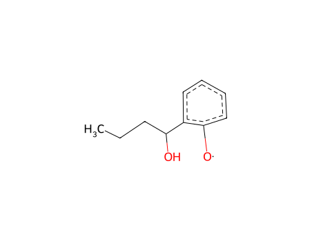 CCCC(O)c1ccccc1[O]